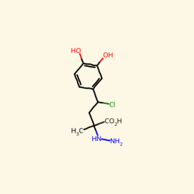 CC(CC(Cl)c1ccc(O)c(O)c1)(NN)C(=O)O